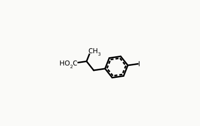 CC(Cc1ccc(I)cc1)C(=O)O